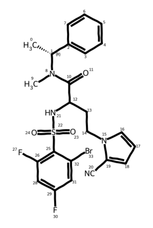 C[C@H](c1ccccc1)N(C)C(=O)C(CCn1cccc1C#N)NS(=O)(=O)c1c(F)cc(F)cc1Br